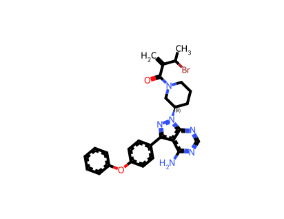 C=C(C(=O)N1CCC[C@@H](n2nc(-c3ccc(Oc4ccccc4)cc3)c3c(N)ncnc32)C1)C(C)Br